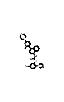 Cc1nc(N2CCOCC2)ccc1-c1ccc(NC(=O)Nc2cc(C(C)(C)C)ccc2-n2ccnc2)c2ccccc12